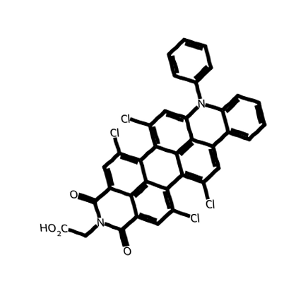 O=C(O)Cn1c(=O)c2cc(Cl)c3c4c(Cl)cc5c6ccccc6n(-c6ccccc6)c6cc(Cl)c(c7c(Cl)cc(c1=O)c2c37)c4c56